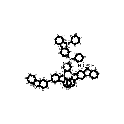 CC1(C)c2ccccc2-c2cc3c4ccccc4n(-c4cc(N(c5ccccc5)c5ccc6c7ccccc7n(-c7ccccc7)c6c5)nnc4-n4c5ccccc5c5cc(-c6ccc7oc8ccccc8c7c6)ccc54)c3cc21